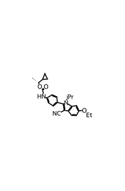 CCOc1ccc2c(C#N)c(-c3ccc(NC(=O)O[C@H](C)C4CC4)cc3)n(C(C)C)c2c1